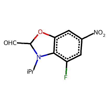 CC(C)N1c2c(F)cc([N+](=O)[O-])cc2OC1C=O